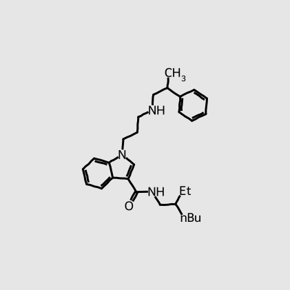 CCCCC(CC)CNC(=O)c1cn(CCCNCC(C)c2ccccc2)c2ccccc12